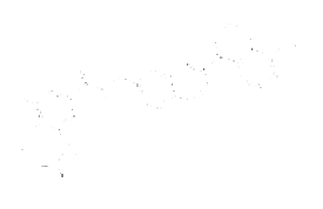 CCOc1nccc2c1OCCN2c1ccc2cnc(CNC(=O)c3cc(Cl)c4c(c3)S(=O)(=O)[C@@H](F)COC4)cc2n1